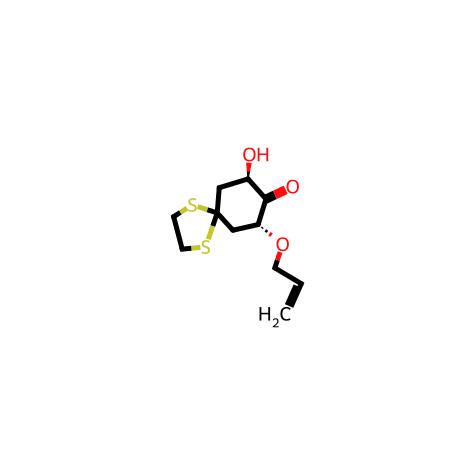 C=CCO[C@@H]1CC2(C[C@@H](O)C1=O)SCCS2